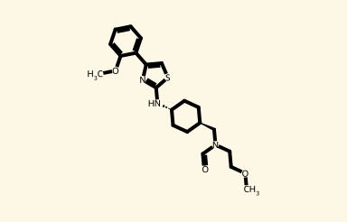 COCCN(C=O)C[C@H]1CC[C@H](Nc2nc(-c3ccccc3OC)cs2)CC1